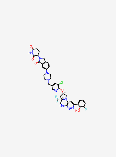 O=C1CCC(N2Cc3ccc(N4CCN(Cc5cnc(O[C@H]6CN7c8cc(-c9cccc(F)c9O)nnc8NC[C@@]7(C(F)F)C6)c(Cl)c5)CC4)cc3C2=O)C(=O)N1